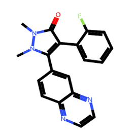 Cn1c(-c2ccc3nccnc3c2)c(-c2ccccc2F)c(=O)n1C